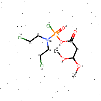 CCOC(CC(=O)OP(=O)(Cl)N(CCCl)CCCl)OCC